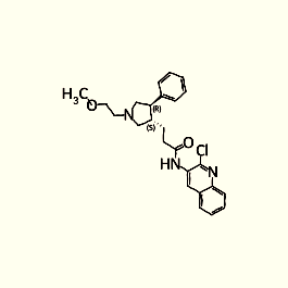 COCCN1C[C@@H](CCC(=O)Nc2cc3ccccc3nc2Cl)[C@H](c2ccccc2)C1